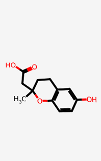 CC1(CC(=O)O)CCc2cc(O)ccc2O1